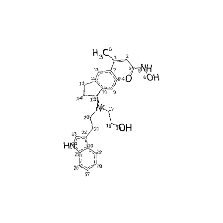 C/C(=C/C(=O)NO)c1ccc2c(c1)CC[C@@H]2N(CCO)CCc1c[nH]c2ccccc12